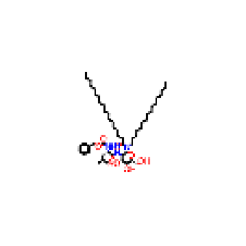 CCCCCCCCCCCCCCCCCC(=O)N(CCCCCCCCCCCCCCCC)[C@@H]1O[C@H](CO)[C@@H](O)[C@H](O)[C@H]1NC(=O)[C@H](CC(C)C)NC(=O)OCc1ccccc1